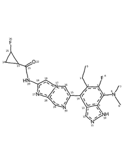 CCc1c(F)c(N(C)C)c2[nH]ncc2c1-c1cn2cc(NC(=O)C3CC3F)nc2cn1